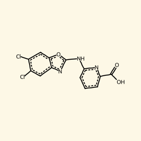 O=C(O)c1cccc(Nc2nc3cc(Cl)c(Cl)cc3o2)n1